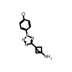 NC12CC(c3nnn(-c4ccc(Cl)cc4)n3)(C1)C2